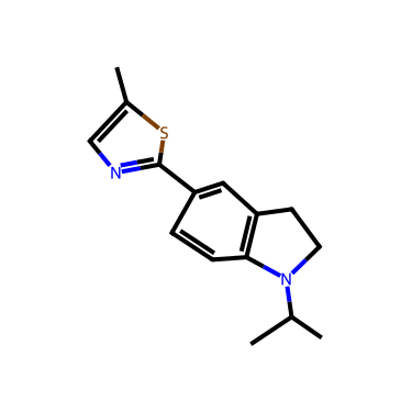 Cc1cnc(-c2ccc3c(c2)CCN3C(C)C)s1